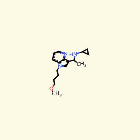 COCCCCn1cc(C(C)NC2CC2)c2ncccc21